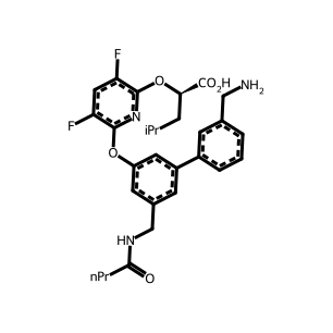 CCCC(=O)NCc1cc(Oc2nc(O[C@H](CC(C)C)C(=O)O)c(F)cc2F)cc(-c2cccc(CN)c2)c1